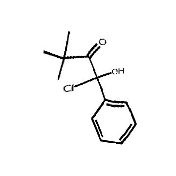 CC(C)(C)C(=O)C(O)(Cl)c1ccccc1